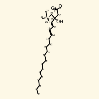 CCCCCCCCCCCCCCC=CC=CC(O)(CC(=O)[O-])C[N+](C)(C)C